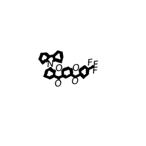 O=c1c2ccc(C(F)(F)F)cc2oc2cc3oc4c(-n5c6ccccc6c6ccccc65)cccc4c(=O)c3cc12